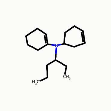 CCCC(CC)N(C1=CCCCC1)C1CC=CCC1